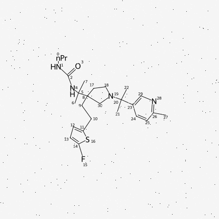 CCCNC(=O)NC(C)(C)C1(CCc2ccc(F)s2)CCN(C(C)(C)c2ccc(C)nc2)C1